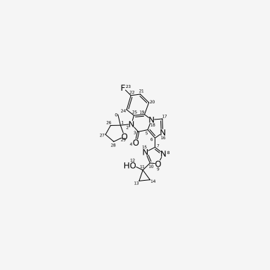 CC1(n2c(=O)c3c(-c4noc(C5(O)CC5)n4)ncn3c3ccc(F)cc32)CCCO1